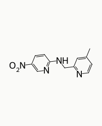 Cc1ccnc(CNc2ccc([N+](=O)[O-])cn2)c1